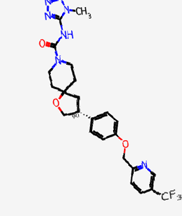 Cn1nnnc1NC(=O)N1CCC2(CC1)C[C@H](c1ccc(OCc3ccc(C(F)(F)F)cn3)cc1)CO2